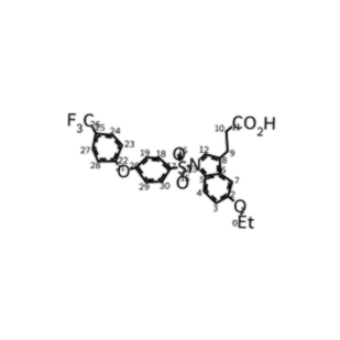 CCOc1ccc2c(c1)c(CCC(=O)O)cn2S(=O)(=O)c1ccc(Oc2ccc(C(F)(F)F)cc2)cc1